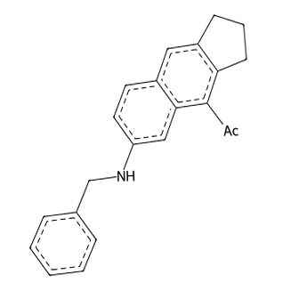 CC(=O)c1c2c(cc3ccc(NCc4ccccc4)cc13)CCC2